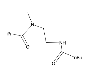 CCCCC(=O)NCCN(C)C(=O)C(C)C